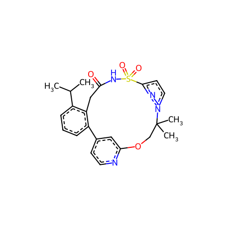 CC(C)c1cccc2c1CC(=O)NS(=O)(=O)c1ccn(n1)C(C)(C)COc1cc-2ccn1